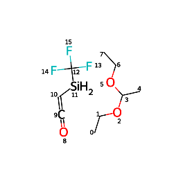 CCOC(C)OCC.O=C=C[SiH2]C(F)(F)F